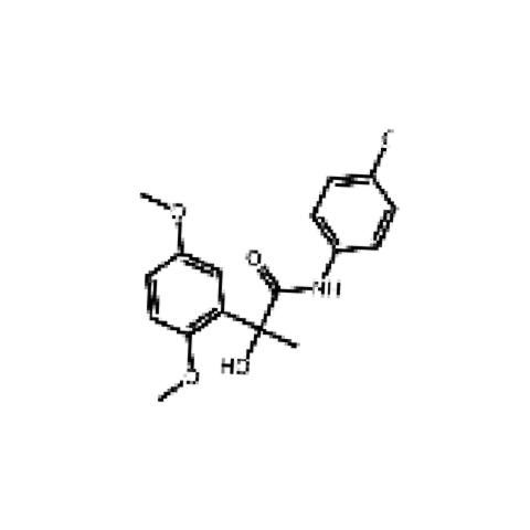 COc1ccc(OC)c(C(C)(O)C(=O)Nc2ccc(Cl)cc2)c1